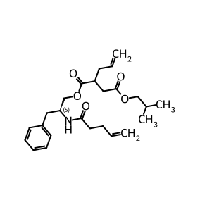 C=CCCC(=O)N[C@H](COC(=O)C(CC=C)CC(=O)OCC(C)C)Cc1ccccc1